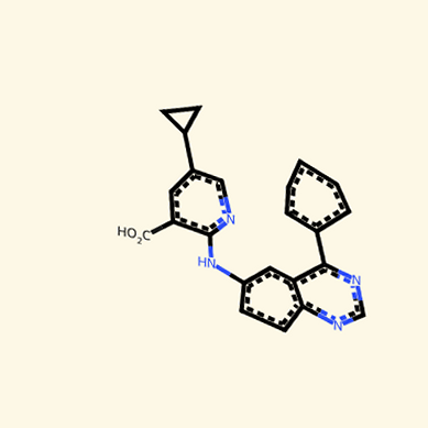 O=C(O)c1cc(C2CC2)cnc1Nc1ccc2ncnc(-c3ccccc3)c2c1